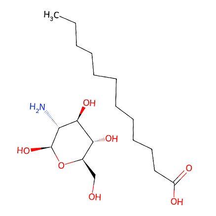 CCCCCCCCCCCC(=O)O.N[C@@H]1[C@@H](O)[C@H](O)[C@@H](CO)O[C@H]1O